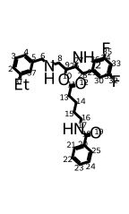 CCc1cccc(CNCC(OC(=O)CCCCNC(=O)c2ccccc2)C(N)Cc2cc(F)cc(F)c2)c1